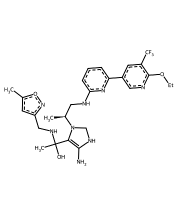 CCOc1ncc(-c2cccc(NC[C@H](C)N3CNC(N)=C3C(C)(O)NCc3cc(C)on3)n2)cc1C(F)(F)F